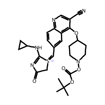 CC(C)(C)OC(=O)ON1CCC(Oc2c(C#N)cnc3ccc(/C=S4/CC(=O)N=C4NC4CC4)cc23)CC1